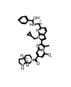 COc1cc(C(=O)N2CC[C@H]3CCN[C@H]3C2)cc2nc(-c3cc4ccc([C@@H](C)NC(O)c5ccccc5)nc4n3CC3CC3)c(C)n12